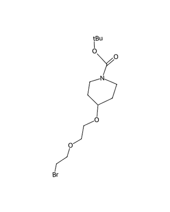 CC(C)(C)OC(=O)N1CCC(OCCOCCBr)CC1